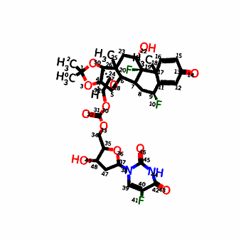 CC1(C)O[C@@H]2CC3C4C[C@H](F)C5=CC(=O)C=CC5(C)[C@@]4(F)[C@@H](O)CC3(C)[C@]2(C(=O)COC(=O)OCC2OC(n3cc(F)c(=O)[nH]c3=O)CC2O)O1